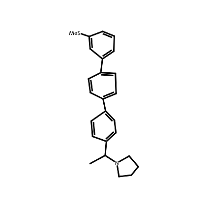 CSc1cccc(-c2ccc(-c3ccc(C(C)N4CCCC4)cc3)cc2)c1